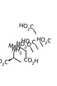 CC(=O)O.CC(=O)O.CC(=O)O.CC(=O)O.CNCC(=O)O.C[C@H](N)C(=O)O